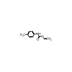 C=COC(=O)Nc1ccc(C)cc1